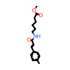 COC(=O)CCCCCNC(=O)/C=C/c1ccc(C)cc1